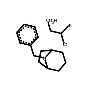 CCC(CC(=O)O)C(C)C.c1ccc(CN2C3CCCC2CC3)cc1